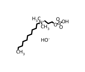 CCCCCCCCCC[N+](C)(C)CCCOS(=O)(=O)O.[OH-]